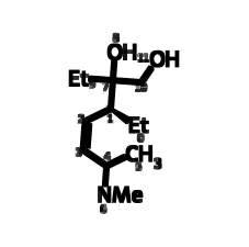 CC[C@@H](/C=C\C(C)NC)C(O)(CC)CO